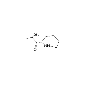 CC(S)C(=O)C1CCCCN1